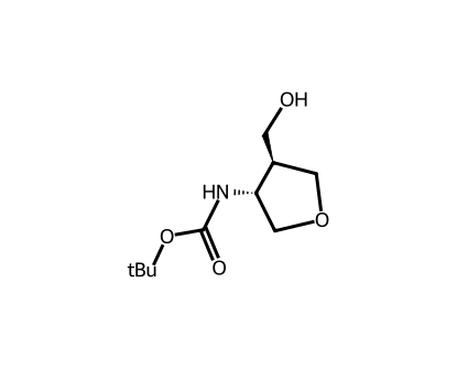 CC(C)(C)OC(=O)N[C@H]1COC[C@@H]1CO